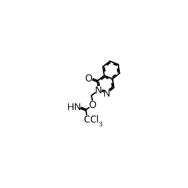 N=C(OCn1ncc2ccccc2c1=O)C(Cl)(Cl)Cl